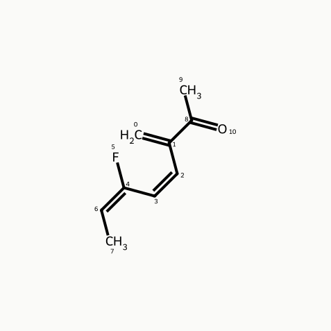 C=C(/C=C\C(F)=C/C)C(C)=O